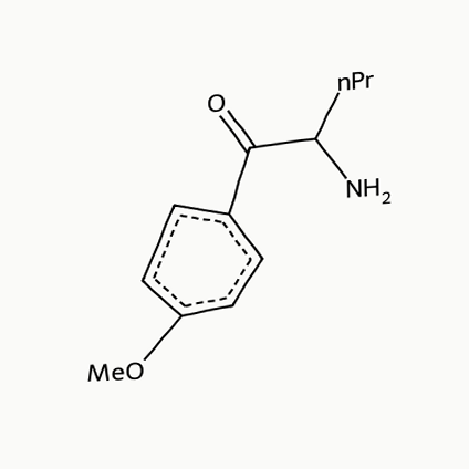 CCCC(N)C(=O)c1ccc(OC)cc1